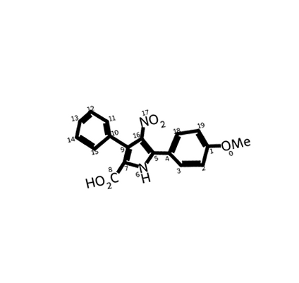 COc1ccc(-c2[nH]c(C(=O)O)c(-c3ccccc3)c2[N+](=O)[O-])cc1